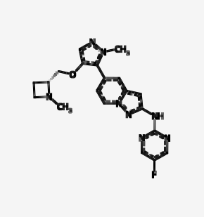 CN1CC[C@@H]1COc1cnn(C)c1-c1ccn2nc(Nc3ncc(F)cn3)cc2c1